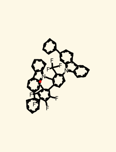 Fc1c(F)c(F)c(-c2ccc(-n3c4ccccc4c4ccc(-c5ccccc5)cc43)c(C(F)(F)F)c2-n2c3ccccc3c3ccc(-c4ccccc4)cc32)c(F)c1F